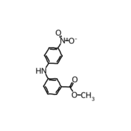 COC(=O)c1cccc(Nc2ccc([N+](=O)[O-])cc2)c1